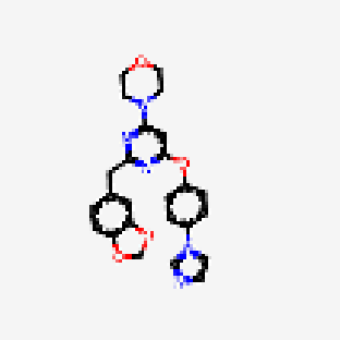 c1cn(-c2ccc(Oc3cc(N4CCOCC4)nc(Cc4ccc5c(c4)OCO5)n3)cc2)cn1